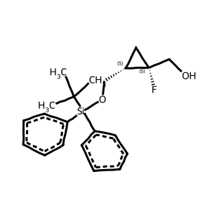 CC(C)(C)[Si](OC[C@@H]1C[C@@]1(F)CO)(c1ccccc1)c1ccccc1